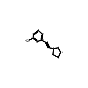 Oc1cccc(C#CC2CCCC2)c1